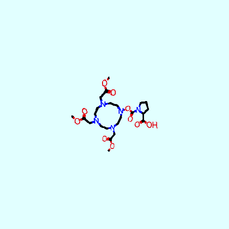 COC(=O)CN1CCN(CC(=O)OC)CCN(OC(=O)N2CCCC2C(=O)O)CCN(CC(=O)OC)CC1